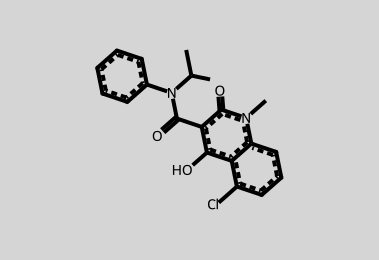 CC(C)N(C(=O)c1c(O)c2c(Cl)cccc2n(C)c1=O)c1ccccc1